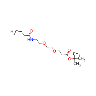 CCCC(=O)NCCOCCOCCC(=O)OC(C)(C)C